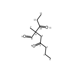 CCCC(=O)CC(C)([C]=O)C(=O)CC